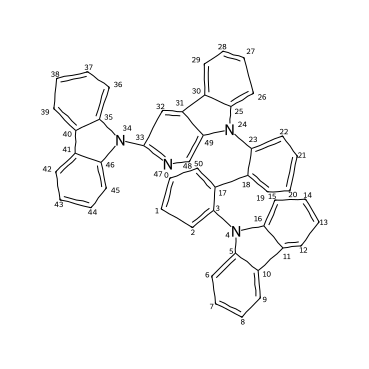 c1ccc(-n2c3ccccc3c3ccccc32)c(-c2ccccc2-n2c3ccccc3c3cc(-n4c5ccccc5c5ccccc54)ncc32)c1